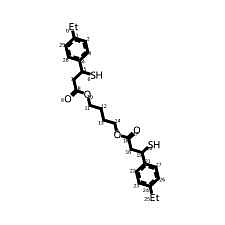 CCc1ccc(C(S)CC(=O)OCCCCOC(=O)CC(S)c2ccc(CC)cc2)cc1